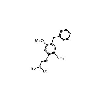 CCN(/C=N/c1cc(OC)c(Cc2ccccc2)cc1C)CC